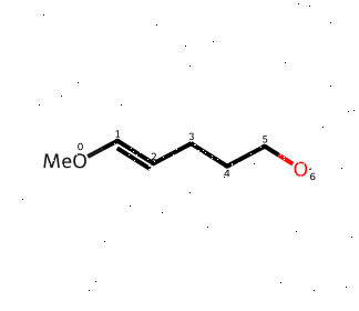 CO/C=C/CCC[O]